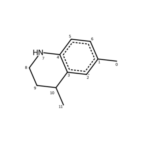 Cc1[c]c2c(cc1)NCCC2C